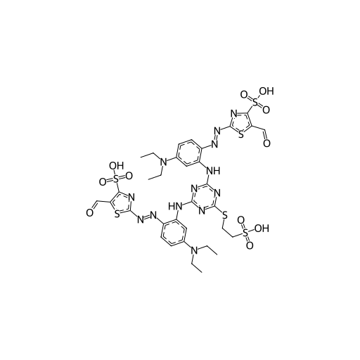 CCN(CC)c1ccc(/N=N/c2nc(S(=O)(=O)O)c(C=O)s2)c(Nc2nc(Nc3cc(N(CC)CC)ccc3/N=N/c3nc(S(=O)(=O)O)c(C=O)s3)nc(SCCS(=O)(=O)O)n2)c1